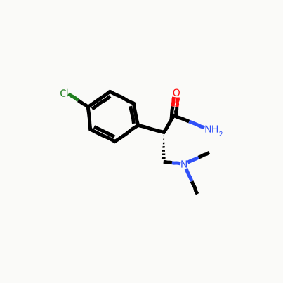 CN(C)C[C@@H](C(N)=O)c1ccc(Cl)cc1